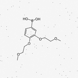 COCCOc1ccc(B(O)O)cc1OCCOC